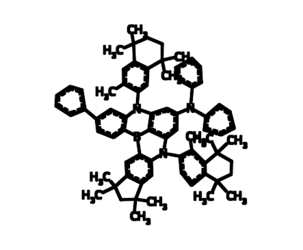 Cc1cc2c(cc1N1c3cc(-c4ccccc4)ccc3B3c4cc5c(cc4N(c4ccc6c(c4C)C(C)(C)CCC6(C)C)c4cc(N(c6ccccc6)c6ccccc6)cc1c43)C(C)(C)CC5(C)C)C(C)(C)CCC2(C)C